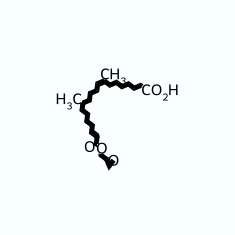 CC(=CCCCC(C)CCCCC=CC(=O)OCC1CO1)CCCCCCC(=O)O